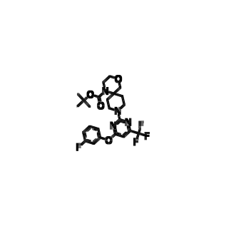 CC(C)(C)OC(=O)N1CCOCC12CCN(c1nc(Oc3cccc(F)c3)cc(C(F)(F)F)n1)CC2